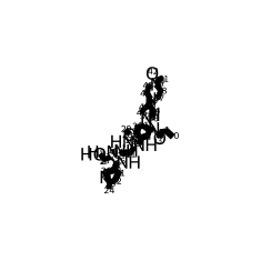 C=CC(=O)Nc1cc(NC(=N)/C=C(\NN)N[C@H](CCO)c2ccc(C)nc2)c(OC)cc1N1CCC(N2CCN(C(C)=O)CC2)CC1